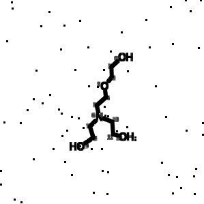 OCCOCCN(CCO)CCO